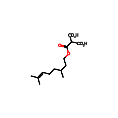 CC(C)=CCCC(C)CCOC(=O)C(C(=O)O)C(=O)O